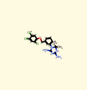 CC1(C)N=C(N)N=C(N)N1c1cccc(COc2cc(Cl)c(Cl)cc2Cl)c1